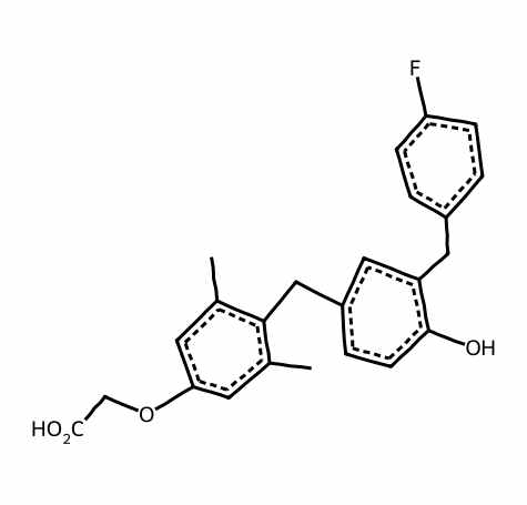 Cc1cc(OCC(=O)O)cc(C)c1Cc1ccc(O)c(Cc2ccc(F)cc2)c1